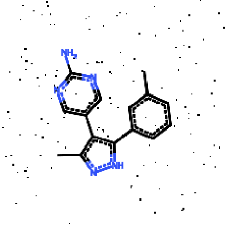 Cc1cccc(-c2[nH]nc(C)c2-c2cnc(N)nc2)c1